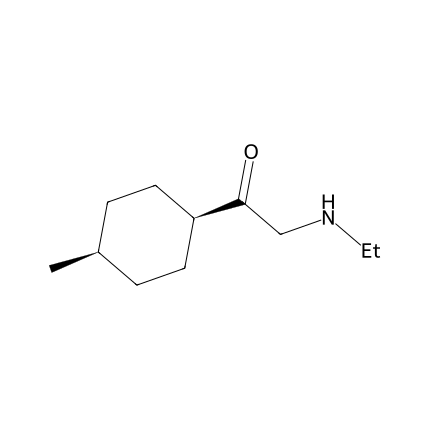 CCNCC(=O)[C@H]1CC[C@@H](C)CC1